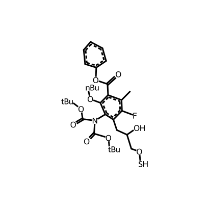 CCCCOc1c(C(=O)Oc2ccccc2)c(C)c(F)c(CC(O)COS)c1N(C(=O)OC(C)(C)C)C(=O)OC(C)(C)C